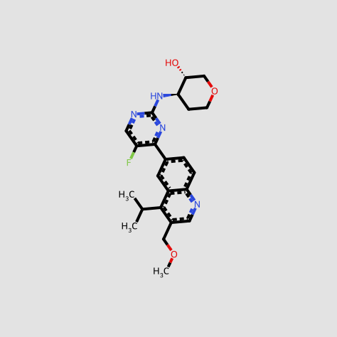 COCc1cnc2ccc(-c3nc(N[C@@H]4CCOC[C@H]4O)ncc3F)cc2c1C(C)C